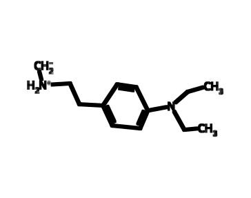 [CH2-][NH2+]CCc1ccc(N(CC)CC)cc1